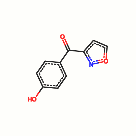 O=C(c1ccc(O)cc1)c1ccon1